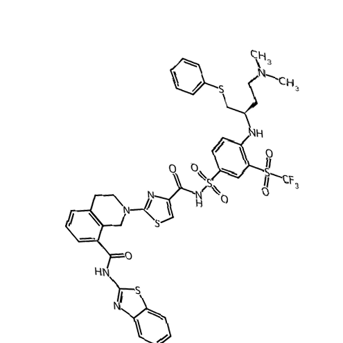 CN(C)CC[C@H](CSc1ccccc1)Nc1ccc(S(=O)(=O)NC(=O)c2csc(N3CCc4cccc(C(=O)Nc5nc6ccccc6s5)c4C3)n2)cc1S(=O)(=O)C(F)(F)F